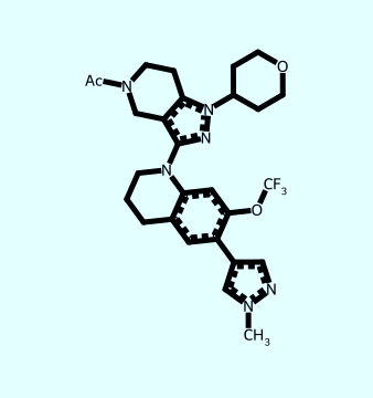 CC(=O)N1CCc2c(c(N3CCCc4cc(-c5cnn(C)c5)c(OC(F)(F)F)cc43)nn2C2CCOCC2)C1